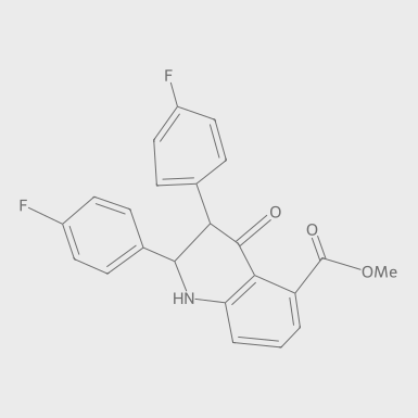 COC(=O)c1cccc2c1C(=O)C(c1ccc(F)cc1)C(c1ccc(F)cc1)N2